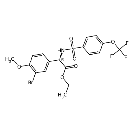 CCOC(=O)[C@H](NS(=O)(=O)c1ccc(OC(F)(F)F)cc1)c1ccc(OC)c(Br)c1